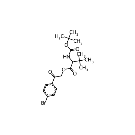 CC(C)(C)OC(=O)NC(C(=O)OCC(=O)c1ccc(Br)cc1)C(C)(C)C